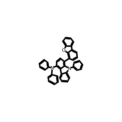 c1ccc(N(c2ccccc2)c2ccc(-c3cccc4c3oc3ccccc34)c3c2c2ccccc2n3-c2ccccc2)cc1